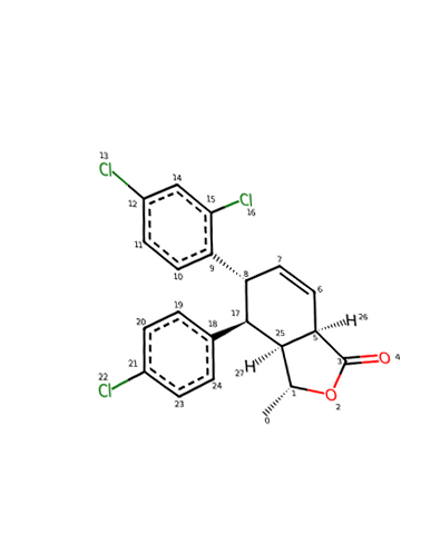 C[C@H]1OC(=O)[C@@H]2C=C[C@@H](c3ccc(Cl)cc3Cl)[C@H](c3ccc(Cl)cc3)[C@H]12